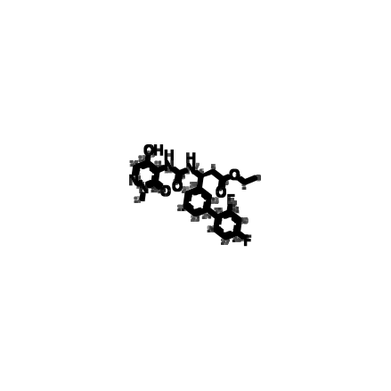 CCOC(=O)C[C@H](NC(=O)Nc1c(O)cnn(C)c1=O)c1cccc(-c2ccc(F)cc2F)c1